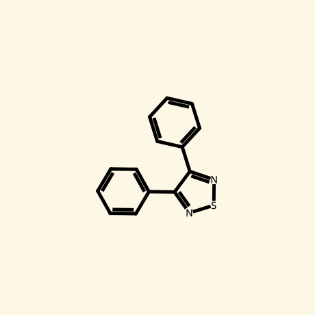 c1ccc(-c2nsnc2-c2ccccc2)cc1